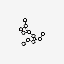 c1ccc(-c2cccc(-c3cccc4c3c3cc(-c5ccc6c(c5)c5ccccc5n6-c5ccc(-c6ccccc6)cc5-c5ccccc5)ccc3n4-c3cccc(-c4ccccc4)c3)c2)cc1